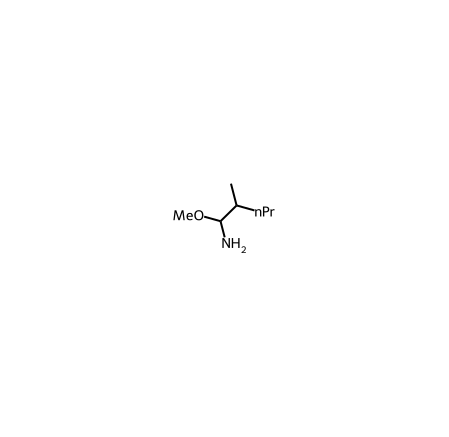 CCCC(C)C(N)OC